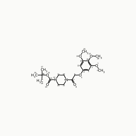 COc1cc(OCC(=O)N2CCN(C(=O)OC(C)(C)C)CC2)cc(OC)c1OC